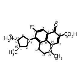 C[C@H]1CN(c2c(F)cc3c(=O)c(C(=O)O)cn4c3c2CCN4C)C[C@H]1N